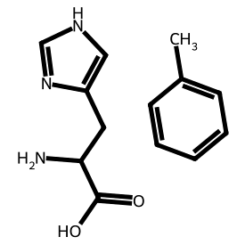 Cc1ccccc1.NC(Cc1c[nH]cn1)C(=O)O